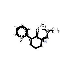 CN(C)/C=C1/CCCC(c2ccccn2)C1=O